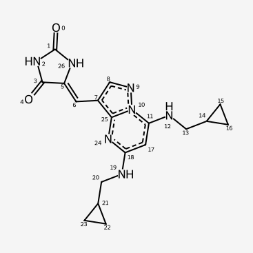 O=C1NC(=O)/C(=C/c2cnn3c(NCC4CC4)cc(NCC4CC4)nc23)N1